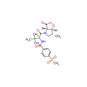 C[C@@H]1CN(C(=O)C(NC(=O)c2ccc(S(C)(=O)=O)cc2)C(C)(C)C)[C@@H]2C(=O)CO[C@H]12